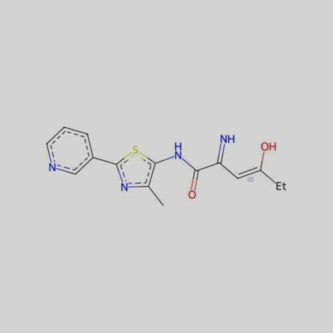 CC/C(O)=C/C(=N)C(=O)Nc1sc(-c2cccnc2)nc1C